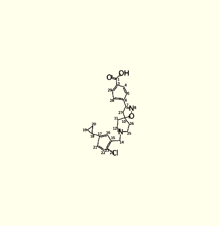 O=C(O)c1ccc(C2=NOC3(CCN(Cc4cc(C5CC5)ccc4Cl)CC3)C2)cc1